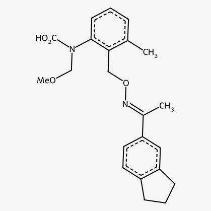 COCN(C(=O)O)c1cccc(C)c1CON=C(C)c1ccc2c(c1)CCC2